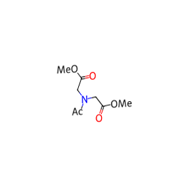 COC(=O)CN(CC(=O)OC)C(C)=O